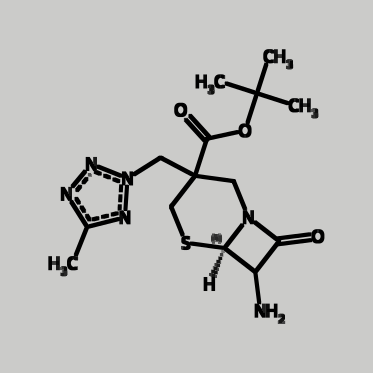 Cc1nnn(CC2(C(=O)OC(C)(C)C)CS[C@@H]3C(N)C(=O)N3C2)n1